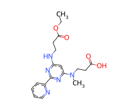 CCOC(=O)CCNc1cc(N(C)CCC(=O)O)nc(-c2ccccn2)n1